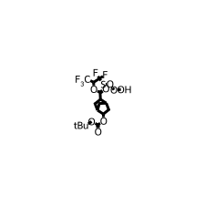 CC(C)(C)OC(=O)OC1CC2CC1CC2C(=O)OC(C(F)(F)F)C(F)(F)SOOO